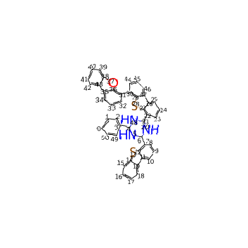 c1ccc(C2NC(c3cccc4c3sc3ccccc34)NC(c3cccc4c3sc3c(-c5cccc6c5oc5ccccc56)cccc34)N2)cc1